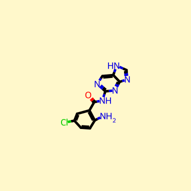 Nc1ccc(Cl)cc1C(=O)Nc1ncc2[nH]cnc2n1